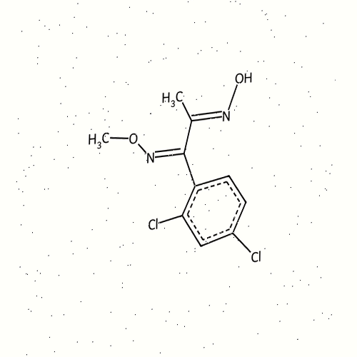 CON=C(C(C)=NO)c1ccc(Cl)cc1Cl